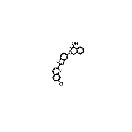 O=C(O)c1ccccc1COc1ccc2oc(-c3ccc4ccc(Cl)cc4n3)cc2c1